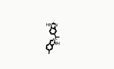 Cc1ccc2c[n+](C(C)c3ccc4[nH]cnc4c3)[nH]c2c1